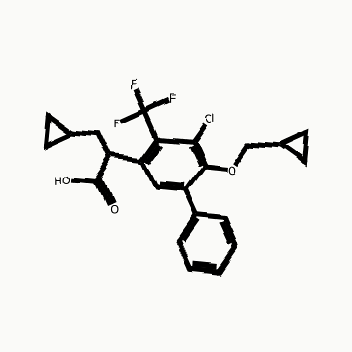 O=C(O)C(CC1CC1)c1cc(-c2ccccc2)c(OCC2CC2)c(Cl)c1C(F)(F)F